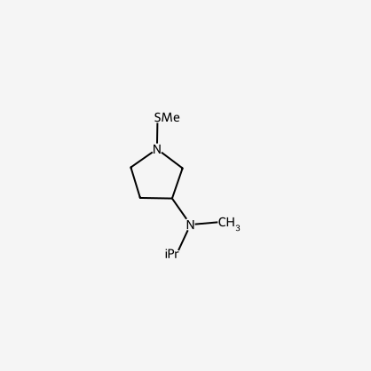 CSN1CCC(N(C)C(C)C)C1